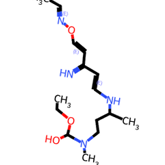 C/C=N/O/C=C/C(=N)/C=C/NC(C)CCN(C)C(O)OCC